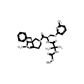 CN1N=C2CCN(C(=O)[C@@H](COc3cccc(C(F)(F)F)n3)NC(=O)C(C)(C)NC(=O)OC(C)(C)C)C[C@@]2(Cc2ccccc2)C1=O